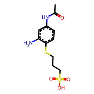 CC(=O)Nc1ccc(SCCCS(=O)(=O)O)c(N)c1